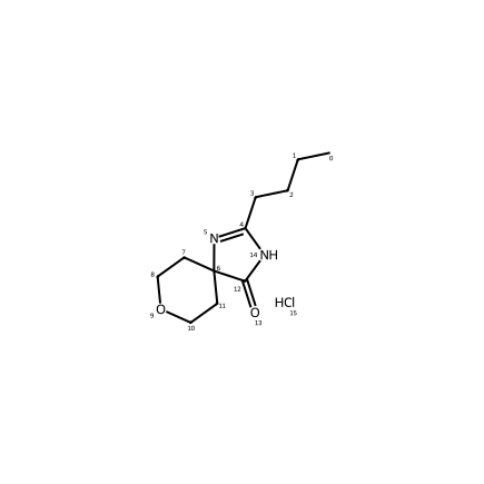 CCCCC1=NC2(CCOCC2)C(=O)N1.Cl